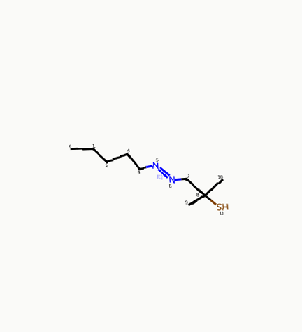 CCCCC/N=N/CC(C)(C)S